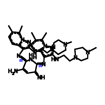 Cc1ccc2c(/N=C3\N/C(=N\c4c(NCCN5CCN(C)CC5)nn5c(C)c(C)ccc45)C(N)=CC3=N)c(NCCN3CCN(C)CC3)nn2c1C